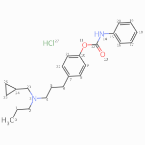 CCCN(CCCc1ccc(OC(=O)Nc2ccccc2)cc1)CC1CC1.Cl